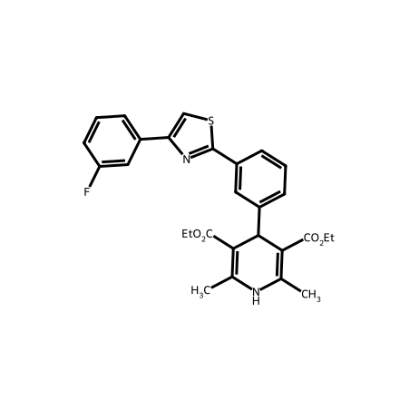 CCOC(=O)C1=C(C)NC(C)=C(C(=O)OCC)C1c1cccc(-c2nc(-c3cccc(F)c3)cs2)c1